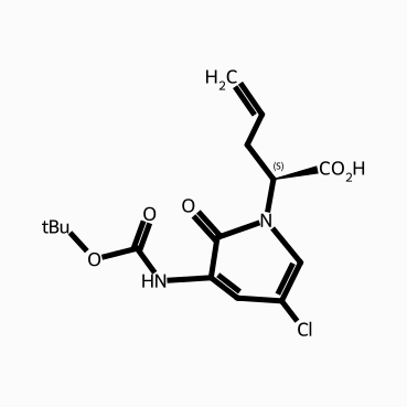 C=CC[C@@H](C(=O)O)n1cc(Cl)cc(NC(=O)OC(C)(C)C)c1=O